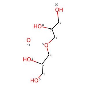 OCC(O)COCC(O)CO.[O]